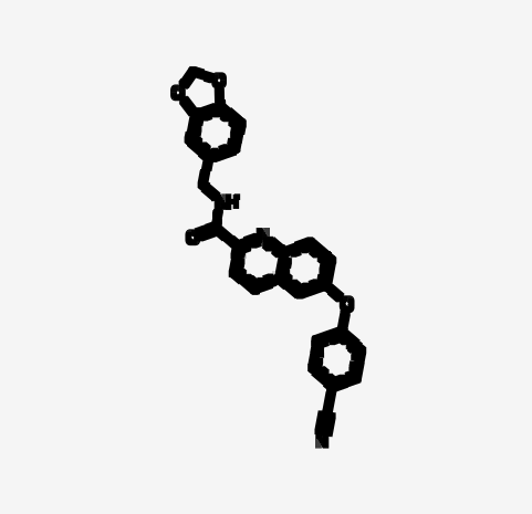 N#Cc1ccc(Oc2ccc3nc(C(=O)NCc4ccc5c(c4)OCO5)ccc3c2)cc1